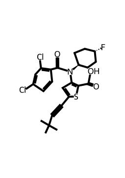 CC(C)(C)C#Cc1cc(N(C(=O)c2ccc(Cl)cc2Cl)[C@H]2CC[C@H](F)CC2)c(C(=O)O)s1